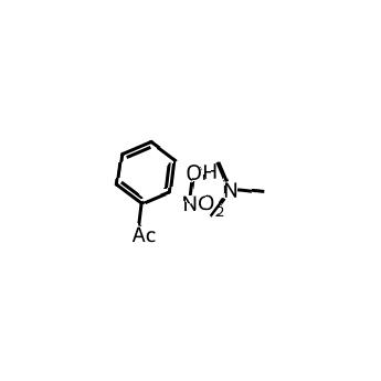 CC(=O)c1ccccc1.CN(C)C.O=[N+]([O-])O